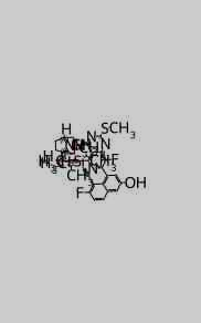 CC#Cc1nc(-c2cc(O)cc3ccc(F)c(C#C[Si](C(C)C)(C(C)C)C(C)C)c23)c(F)c2nc(SC)nc(N3C[C@H]4CC[C@@H](C3)N4)c12